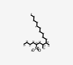 CCCCCCCCCCC(C)C(C)CC(CCCC)[N+](=O)[O-]